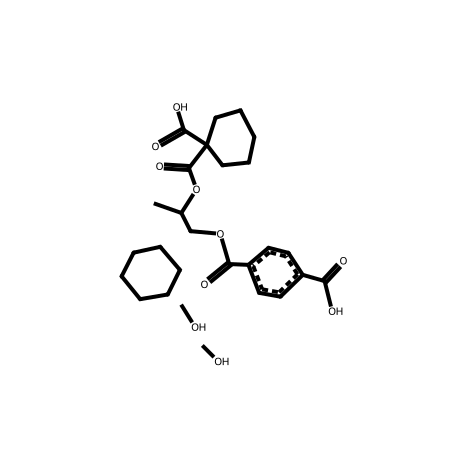 C1CCCCC1.CC(COC(=O)c1ccc(C(=O)O)cc1)OC(=O)C1(C(=O)O)CCCCC1.CO.CO